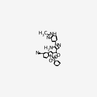 Cc1nc2cc(-n3ncc(C(=O)c4cc5cc(C#N)ccc5n4S(=O)(=O)c4ccccc4)c3N)ccc2[nH]1